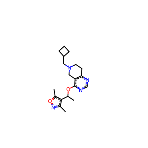 Cc1noc(C)c1C(C)Oc1ncnc2c1CN(CC1CCC1)CC2